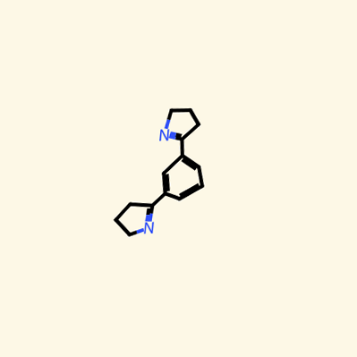 c1cc(C2=NCCC2)cc(C2=NCCC2)c1